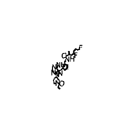 C=CC(=O)N1CCC[C@@H](n2nc(-c3cccc(CNC(=O)C(=C)/C=C(F)\C=C/CF)c3)c3c(N)ncnc32)C1